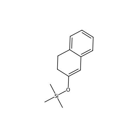 C[Si](C)(C)OC1=Cc2ccccc2CC1